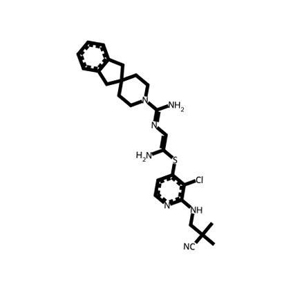 CC(C)(C#N)CNc1nccc(S/C(N)=C/N=C(\N)N2CCC3(CC2)Cc2ccccc2C3)c1Cl